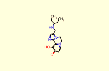 CCC(CC)NCc1cnc2n1CCn1ccc(=O)c(O)c1-2